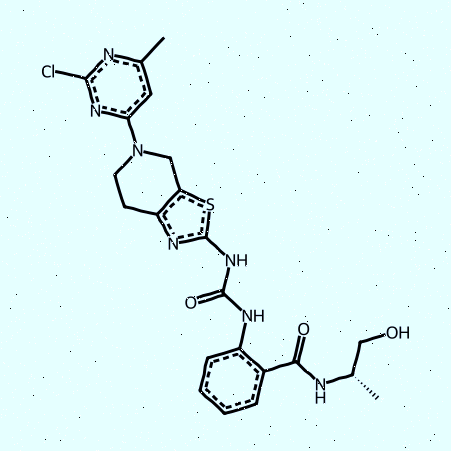 Cc1cc(N2CCc3nc(NC(=O)Nc4ccccc4C(=O)N[C@@H](C)CO)sc3C2)nc(Cl)n1